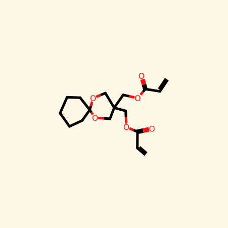 C=CC(=O)OCC1(COC(=O)C=C)COC2(CCCCC2)OC1